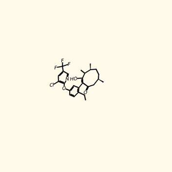 CCc1ccc(Oc2ncc(C(F)(F)F)cc2Cl)cc1/C1=C(\O)C(C)[C@@H](C)CC[C@@H](C)CC1=O